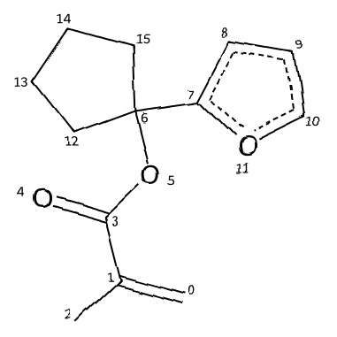 C=C(C)C(=O)OC1(c2ccco2)CCCC1